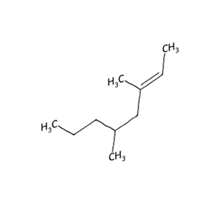 C/C=C(\C)CC(C)CCC